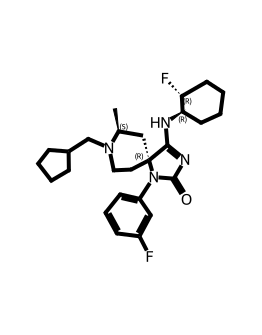 C[C@H]1C[C@]2(CCN1CC1CCCC1)C(N[C@@H]1CCCC[C@H]1F)=NC(=O)N2c1cccc(F)c1